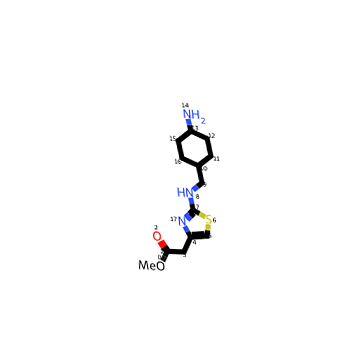 COC(=O)Cc1csc(NCC2CCC(N)CC2)n1